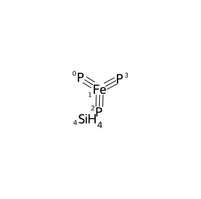 [P]#[Fe](#[P])#[P].[SiH4]